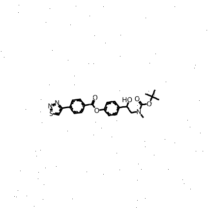 CN(CC(O)c1ccc(OC(=O)c2ccc(-c3csnn3)cc2)cc1)C(=O)OC(C)(C)C